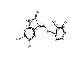 O=C1Nc2cc(Cl)c(F)cc2/C1=C\Cc1ccnc(Cl)c1F